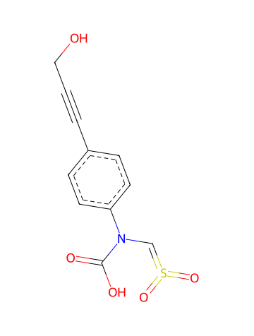 O=C(O)N(C=S(=O)=O)c1ccc(C#CCO)cc1